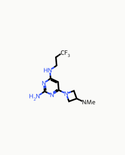 CNC1CN(c2cc(NCCC(F)(F)F)nc(N)n2)C1